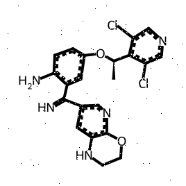 C[C@@H](Oc1ccc(N)c(C(=N)c2cnc3c(c2)NCCO3)c1)c1c(Cl)cncc1Cl